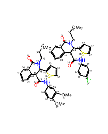 COCCN1C(=O)c2ccccc2C(C(=O)Nc2ccc(Cl)cc2)C1c1cccs1.COCCN1C(=O)c2ccccc2C(C(=O)Nc2ccc(OC)c(OC)c2)C1c1cccs1